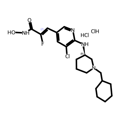 Cl.Cl.O=C(NO)/C(F)=C/c1cnc(N[C@@H]2CCCN(CC3CCCCC3)C2)c(Cl)c1